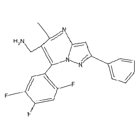 Cc1nc2cc(-c3ccccc3)nn2c(-c2cc(F)c(F)cc2F)c1CN